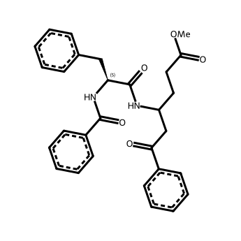 COC(=O)CCC(CC(=O)c1ccccc1)NC(=O)[C@H](Cc1ccccc1)NC(=O)c1ccccc1